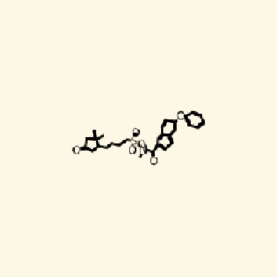 CN(OS(=O)(=O)CCCCC1CC(=O)CC1(C)C)C(=O)c1ccc2cc(Oc3ccccc3)ccc2c1